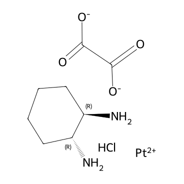 Cl.N[C@@H]1CCCC[C@H]1N.O=C([O-])C(=O)[O-].[Pt+2]